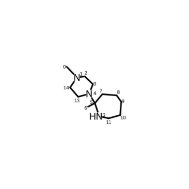 CN1CCN(C2(C)CCCCCN2)CC1